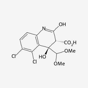 COC(OC)[C@]1(O)c2c(ccc(Cl)c2Cl)N=C(O)[C@@H]1C(=O)O